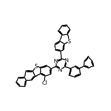 Clc1cc(-c2nc(-c3cccc(-c4ccccc4)c3)nc(-c3ccc4c(c3)sc3ccccc34)n2)cc2sc3cc4ccccc4cc3c12